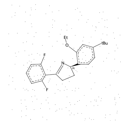 CCOc1cc(C(C)(C)C)ccc1[C@H]1CCC(c2c(F)cccc2F)=N1